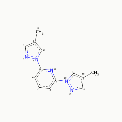 Cc1cnn(-c2cccc(-n3cc(C)cn3)n2)c1